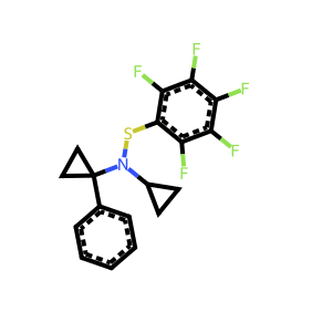 Fc1c(F)c(F)c(SN(C2CC2)C2(c3ccccc3)CC2)c(F)c1F